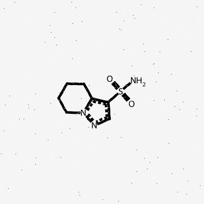 NS(=O)(=O)c1cnn2c1CCCC2